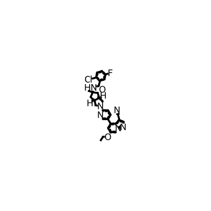 CCOc1cc(-c2ccc(N3C[C@@H]4CC(C)(NC(=O)c5cc(F)ccc5Cl)C[C@@H]4C3)nc2)c2c(C#N)cnn2c1